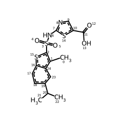 Cc1c(S(=O)(=O)Nc2ncc(C(=O)O)s2)sc2ccc(C(C)C)cc12